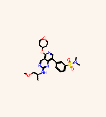 COCC(C)Nc1ncc2c(OC3CCOCC3)ncc(-c3cccc(S(=O)(=O)N(C)C)c3)c2n1